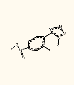 CO[N+](=O)c1ccc(-c2nnnn2C)c(C)c1